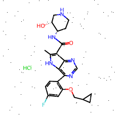 Cc1[nH]c2c(-c3ccc(F)cc3OCC3CC3)ncnc2c1C(=O)N[C@H]1CCNC[C@H]1O.Cl